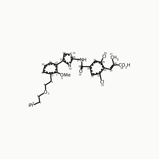 COc1c(CCOCCC(C)C)cccc1-c1csc(NC(=O)c2cc(Cl)c(/C=C(\C)C(=O)O)c(Cl)c2)n1